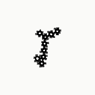 c1ccc(-c2nc(-c3ccc(-c4ccc(-c5ccc6c(c5)C5(CCCCC5)c5ccccc5-6)cc4)cc3)cc(-c3ccc(-c4cccnc4)cc3)n2)cc1